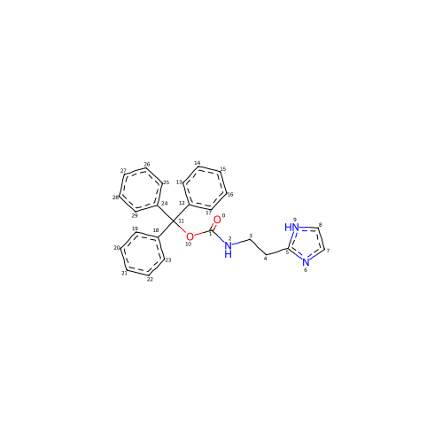 O=C(NCCc1ncc[nH]1)OC(c1ccccc1)(c1ccccc1)c1ccccc1